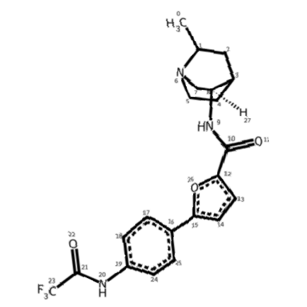 CC1CC2CCN1C[C@@H]2NC(=O)c1ccc(-c2ccc(NC(=O)C(F)(F)F)cc2)o1